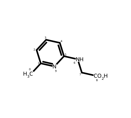 Cc1cccc(NCC(=O)O)n1